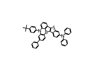 CC(C)(C)c1ccc(N2c3cc(-c4ccccc4)ccc3B3c4c(cccc42)-c2sc4cc(N(c5ccccc5)c5ccccc5)ccc4c23)cc1